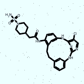 NS(=O)(=O)N1CCC(CC(=O)Nc2ccc3cc2CCc2cccc(c2)Nc2ncc(Cl)c(n2)N3)CC1